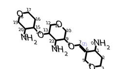 NC1CCOC/C1=C\OC1COCC(OC2CCOCC2N)C1N